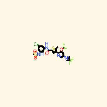 Cc1sc(C(=O)Nc2cc(Cl)cc(NS(C)(=O)=O)c2)cc1-c1ncc(N2CC(F)(F)C2)cc1OC(F)F